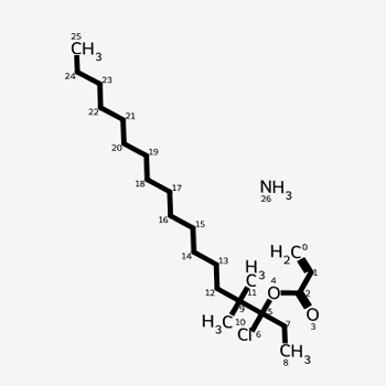 C=CC(=O)OC(Cl)(CC)C(C)(C)CCCCCCCCCCCCCC.N